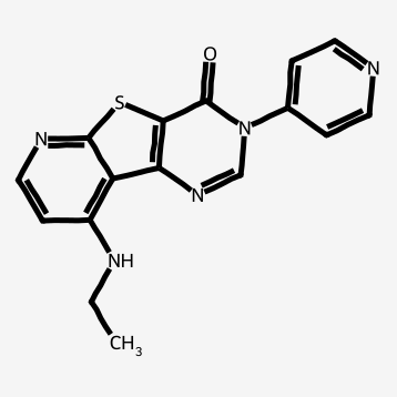 CCNc1ccnc2sc3c(=O)n(-c4ccncc4)cnc3c12